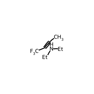 CC#CC(F)(F)F.CCNCC